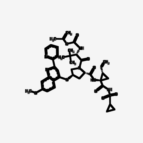 C=C[C@@H]1C[C@]1(NC(=O)[C@@H]1C[C@@H](Oc2cc(-c3ccccn3)nc3cc(OC)ccc23)CN1C(=O)[C@@H](NC(=O)OC(=C)C)C(C)(C)C)C(=O)NS(=O)(=O)C1CC1